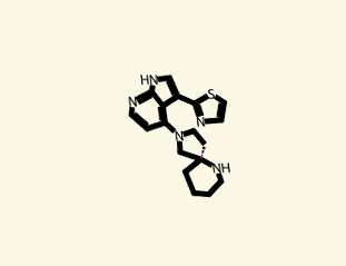 c1csc(-c2c[nH]c3nccc(N4CC[C@]5(CCCCN5)C4)c23)n1